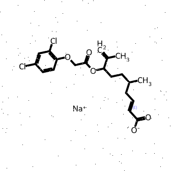 C=C(C)C(CCC(C)C/C=C/C(=O)[O-])OC(=O)COc1ccc(Cl)cc1Cl.[Na+]